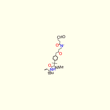 C=CC(NC(=O)C(NC)C(C)(C)c1ccc(CC(=O)CCN(C)C(=O)CCC=O)cc1)C(C)(C)C